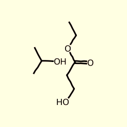 CC(C)O.CCOC(=O)CCO